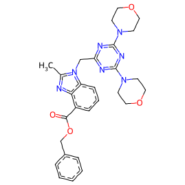 Cc1nc2c(C(=O)OCc3ccccc3)cccc2n1Cc1nc(N2CCOCC2)nc(N2CCOCC2)n1